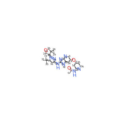 CC(=O)Nc1cc(Oc2cnc3nc(Nc4cc(C(C)(C)C)n([C@@H]5COCC56CC6)n4)n(C)c3c2)ccn1